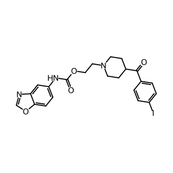 O=C(Nc1ccc2ocnc2c1)OCCN1CCC(C(=O)c2ccc(I)cc2)CC1